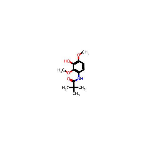 COc1ccc(NC(=O)C(C)(C)C)c(OC)c1O